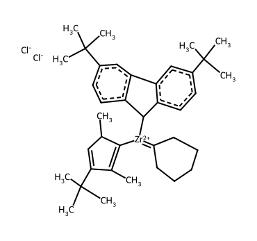 CC1=[C]([Zr+2](=[C]2CCCCC2)[CH]2c3ccc(C(C)(C)C)cc3-c3cc(C(C)(C)C)ccc32)C(C)C=C1C(C)(C)C.[Cl-].[Cl-]